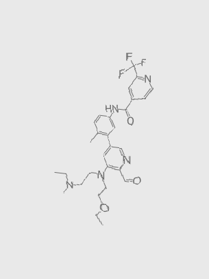 CCOCCN(CCN(C)CC)c1cc(-c2cc(NC(=O)c3ccnc(C(F)(F)F)c3)ccc2C)cnc1C=O